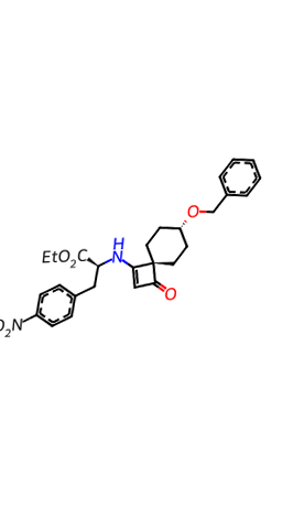 CCOC(=O)[C@H](Cc1ccc([N+](=O)[O-])cc1)NC1=CC(=O)[C@]12CC[C@@H](OCc1ccccc1)CC2